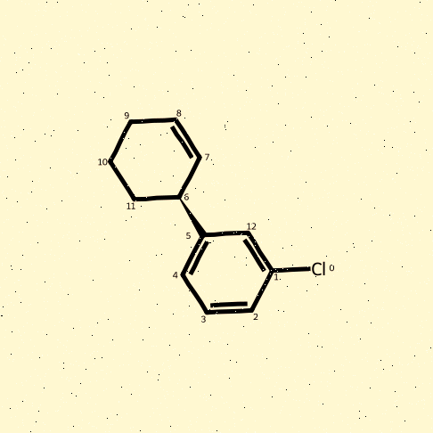 Clc1cccc([C@@H]2C=CCCC2)c1